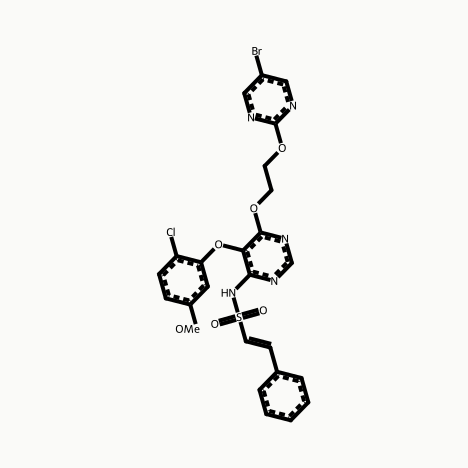 COc1ccc(Cl)c(Oc2c(NS(=O)(=O)C=Cc3ccccc3)ncnc2OCCOc2ncc(Br)cn2)c1